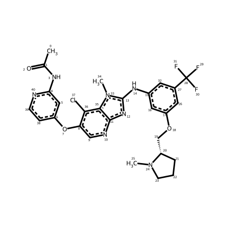 CC(=O)Nc1cc(Oc2cnc3nc(Nc4cc(OC[C@@H]5CCCN5C)cc(C(F)(F)F)c4)n(C)c3c2Cl)ccn1